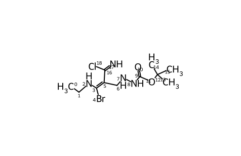 CCN/C(Br)=C(/CNNC(=O)OC(C)(C)C)C(=N)Cl